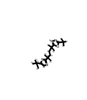 CC(C)(C)c1nnc(C(C)(C)CCC(C)(C)c2ncc(C(C)(C)C)s2)o1